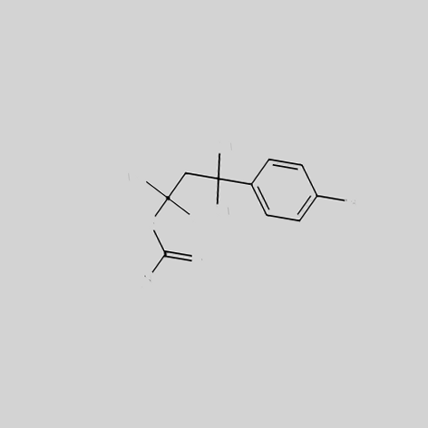 CC(C)(CC(C)(C)c1ccc(Br)cc1)OC(N)=O